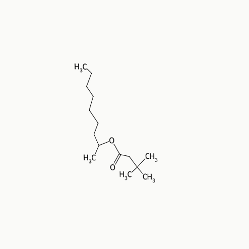 CCCCCCCC(C)OC(=O)CC(C)(C)C